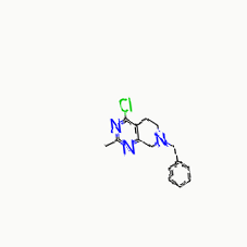 Cc1nc(Cl)c2c(n1)CN(Cc1ccccc1)CC2